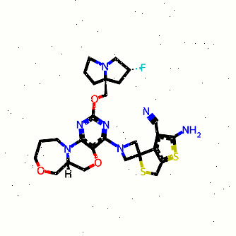 N#Cc1c(N)sc2c1C1(CN(c3nc(OC[C@@]45CCCN4C[C@H](F)C5)nc4c3OC[C@@H]3COCCCN43)C1)SC2